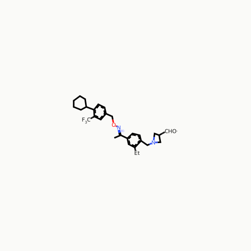 CCc1cc(/C(C)=N/OCc2ccc(C3CCCCC3)c(C(F)(F)F)c2)ccc1CN1CC([C]=O)C1